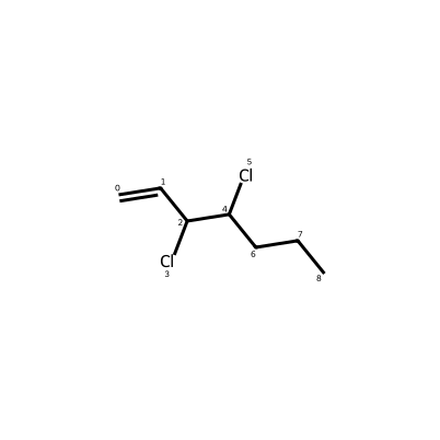 C=CC(Cl)C(Cl)CCC